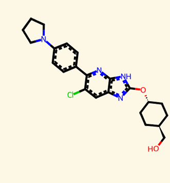 OC[C@H]1CC[C@H](Oc2nc3cc(Cl)c(-c4ccc(N5CCCC5)cc4)nc3[nH]2)CC1